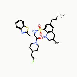 CCCC1CNc2c(cc(CCC(=O)O)cc2S(=O)(=O)N[C@@H](Cc2nc3ccccc3s2)C(=O)N2CCC(CCF)CC2)C1